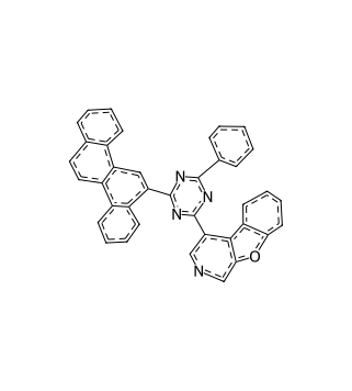 c1ccc(-c2nc(-c3cc4c5ccccc5ccc4c4ccccc34)nc(-c3cncc4oc5ccccc5c34)n2)cc1